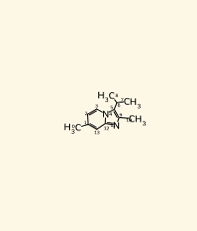 Cc1ccn2c(C(C)C)c(C)nc2c1